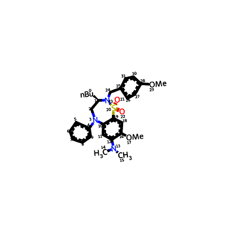 CCCC[C@@H]1CN(c2ccccc2)c2cc(N(C)C)c(OC)cc2S(=O)(=O)N1Cc1ccc(OC)cc1